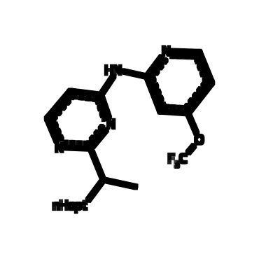 CCCCCCCC(C)c1nccc(Nc2cc(OC(F)(F)F)ccn2)n1